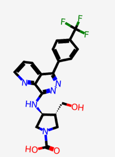 O=C(O)N1C[C@@H](CO)[C@H](Nc2nnc(-c3ccc(C(F)(F)F)cc3)c3cccnc23)C1